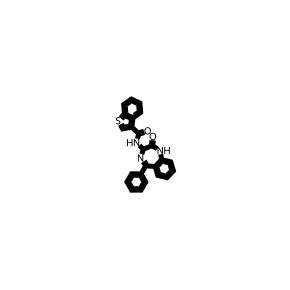 O=C(NC1N=C(c2ccccc2)c2ccccc2NC1=O)c1csc2ccccc12